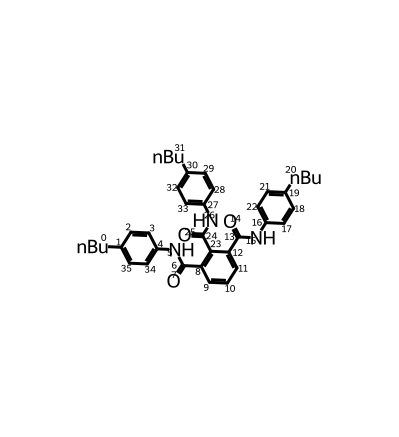 CCCCc1ccc(NC(=O)c2cccc(C(=O)Nc3ccc(CCCC)cc3)c2C(=O)Nc2ccc(CCCC)cc2)cc1